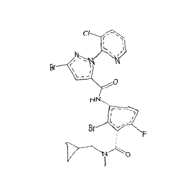 CN(CC1CC1)C(=O)c1c(F)ccc(NC(=O)c2cc(Br)nn2-c2ncccc2Cl)c1Br